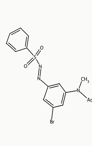 CC(=O)N(C)c1cc(Br)cc(N=NS(=O)(=O)c2ccccc2)c1